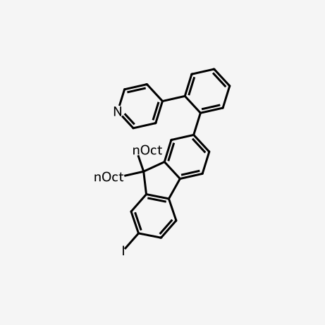 CCCCCCCCC1(CCCCCCCC)c2cc(I)ccc2-c2ccc(-c3ccccc3-c3ccncc3)cc21